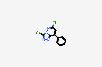 Clc1cc(-c2ccccc2)c2nnc(Cl)n2n1